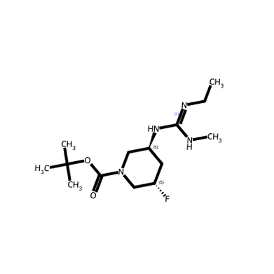 CC/N=C(\NC)N[C@H]1C[C@H](F)CN(C(=O)OC(C)(C)C)C1